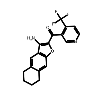 Nc1c(C(=O)c2cnccc2C(F)(F)F)oc2cc3c(cc12)CCCC3